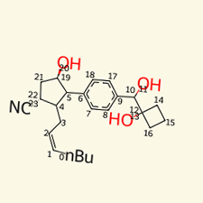 CCCC/C=C\CC1C(c2ccc(C(O)C3(O)CCC3)cc2)[C@H](O)C[C@H]1C#N